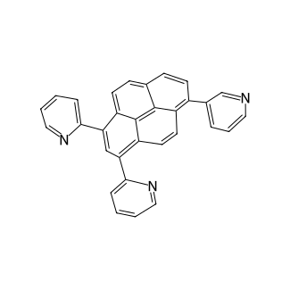 c1ccc(-c2cc(-c3ccccn3)c3ccc4c(-c5cccnc5)ccc5ccc2c3c54)nc1